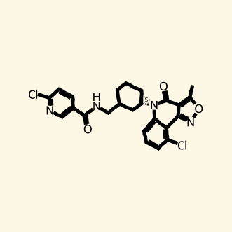 Cc1onc2c1c(=O)n([C@H]1CCCC(CNC(=O)c3ccc(Cl)nc3)C1)c1cccc(Cl)c21